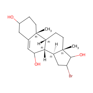 C[C@]12CCC(O)CC1=CC(O)[C@@H]1[C@H]2CC[C@]2(C)C(O)C(Br)C[C@@H]12